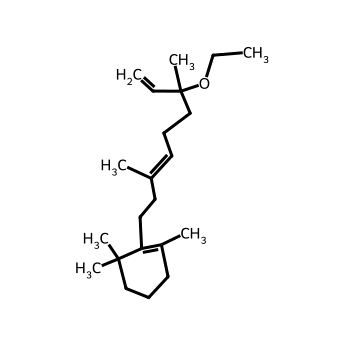 C=CC(C)(CC/C=C(\C)CCC1=C(C)CCCC1(C)C)OCC